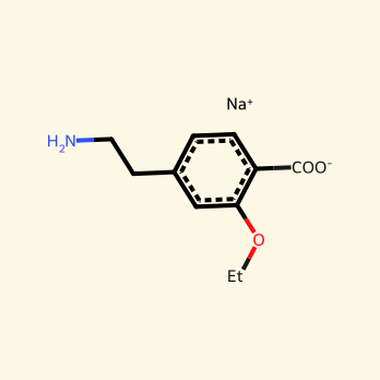 CCOc1cc(CCN)ccc1C(=O)[O-].[Na+]